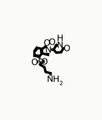 NCCCCS(=O)(=O)c1cccc2c1CN(C1CCC(=O)NC1=O)C2=O